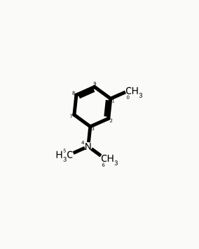 CC1=CC(N(C)C)CC=C1